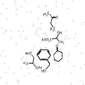 CCC(C)=O.CCOC(=O)C(C)O.COCC(C)OC(C)=O.O=C1CCCCC1.OCc1ccccc1